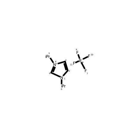 CC(C)n1cc[n+](C(C)C)c1.F[B-](F)(F)F